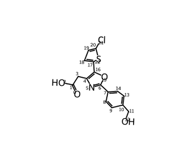 O=C(O)Cc1nc(-c2ccc(CO)cc2)oc1-c1ccc(Cl)s1